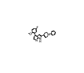 COc1ccc(F)cc1-c1ccnc2[nH]c(C3=CCN(c4ccccc4)CC3)cc12